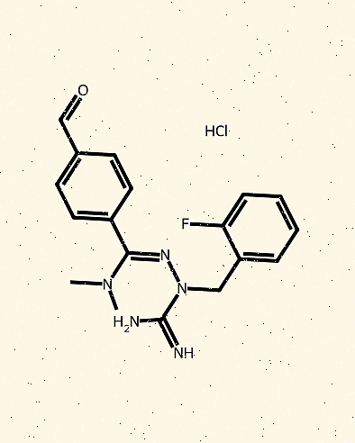 CN(C)C(=NN(Cc1ccccc1F)C(=N)N)c1ccc(C=O)cc1.Cl